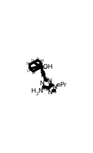 CCCn1cnc2c(N)nc(C#CC3(O)C4CC5CC(C4)CC3C5)nc21